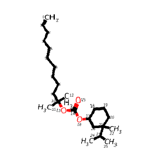 C=CCCCCCCCCC(C)(C)OC(=O)OC1CCCC(C)(C(C)C)C1